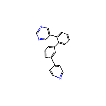 [c]1ccc(-c2cccc(-c3ccncc3)c2)c(-c2cncnc2)c1